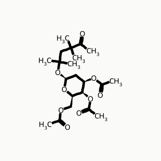 CC(=O)OC[C@H]1O[C@@H](OC(C)(C)CC(C)(C)C(C)=O)C[C@@H](OC(C)=O)[C@H]1OC(C)=O